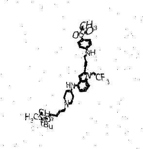 CC(C)(C)[Si](C)(C)OCCCCN1CCC(Nc2cccc3c2cc(C#CCNc2ccc(S(C)(=O)=O)cc2)n3CC(F)(F)F)CC1